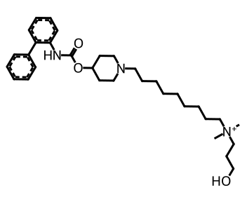 C[N+](C)(CCCO)CCCCCCCCCN1CCC(OC(=O)Nc2ccccc2-c2ccccc2)CC1